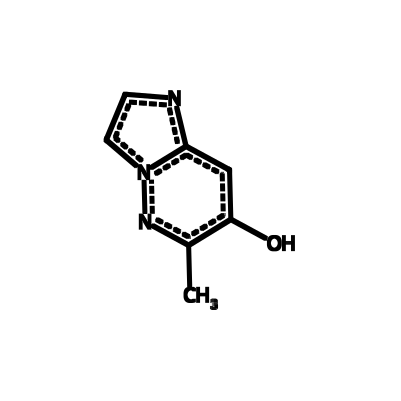 Cc1nn2ccnc2cc1O